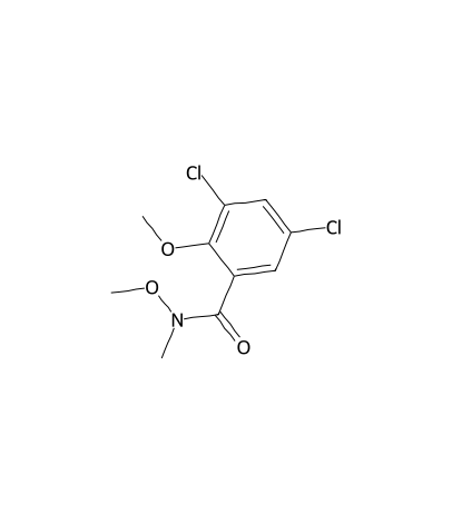 COc1c(Cl)cc(Cl)cc1C(=O)N(C)OC